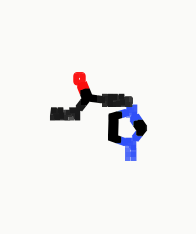 CNC(=O)NC.c1c[nH]cn1